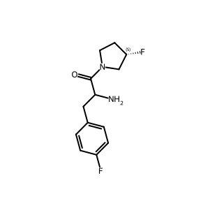 NC(Cc1ccc(F)cc1)C(=O)N1CC[C@H](F)C1